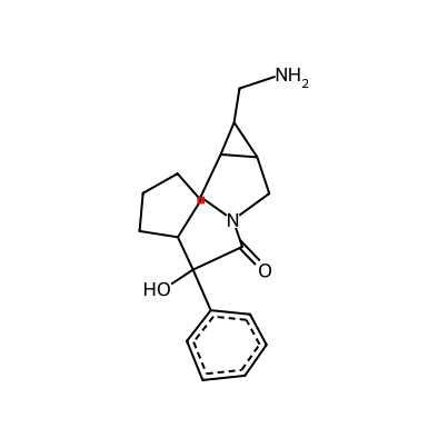 NCC1C2CN(C(=O)C(O)(c3ccccc3)C3CCCC3)CC12